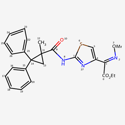 CCOC(=O)/C(=N/OC)c1csc(NC(=O)C2(C)CC2(c2ccccc2)c2ccccc2)n1